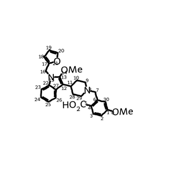 COc1ccc(C(=O)O)c(CN2CCC(c3c(OC)n(Cc4ccco4)c4ccccc34)CC2)c1